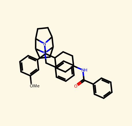 COc1cccc(C(C2CCC(NC(=O)c3ccccc3)CC2)N2C3CCC2C2CCC3N2Cc2ccccc2)c1